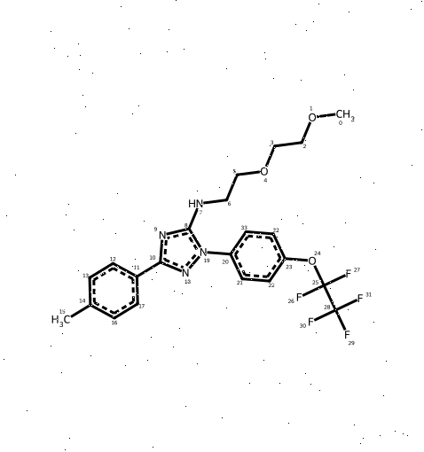 COCCOCCNc1nc(-c2ccc(C)cc2)nn1-c1ccc(OC(F)(F)C(F)(F)F)cc1